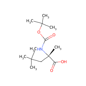 CC(C)(C)C[C@](C)(NC(=O)OC(C)(C)C)C(=O)O